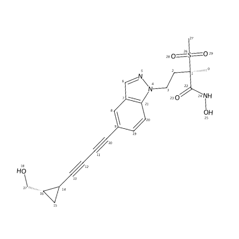 C[C@@](CCn1ncc2cc(C#CC#CC3C[C@@H]3CO)ccc21)(C(=O)NO)S(C)(=O)=O